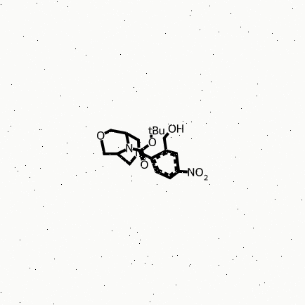 CC(C)(C)OC(=O)N1C2COCC1CN(c1ccc([N+](=O)[O-])cc1CO)C2